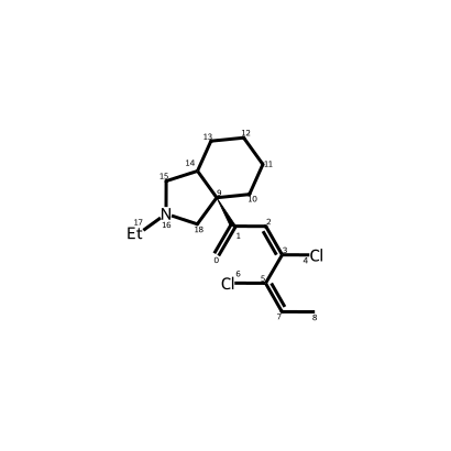 C=C(/C=C(Cl)\C(Cl)=C/C)[C@]12CCCCC1CN(CC)C2